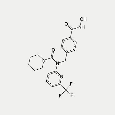 O=C(NO)c1ccc(CN(C(=O)N2CCCCC2)c2cccc(C(F)(F)F)n2)cc1